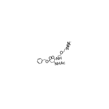 CC(=O)N[C@@H](CC(=O)OCc1ccccc1)C(=O)NCCOCCN=[N+]=[N-]